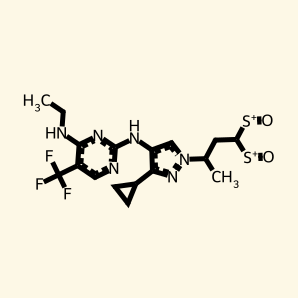 CCNc1nc(Nc2cn(C(C)CC([S+]=O)[S+]=O)nc2C2CC2)ncc1C(F)(F)F